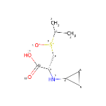 CC(C)[S+]([O-])C[C@H](NC1CC1)C(=O)O